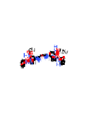 CC(C)(C)OC(=O)N[C@H]1CC[C@@H](n2cc(COCc3cn([C@@H]4CC[C@H](NC(=O)OC(C)(C)C)C(=O)N5[C@H](CC[C@H]5C(=O)N[C@@H]5CCCc6ccccc65)C4)nn3)nn2)C[C@H]2CC[C@@H](C(=O)N[C@@H]3CCCc4ccccc43)N2C1=O